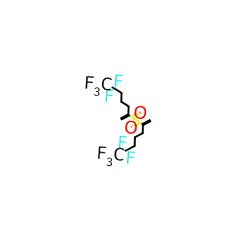 C=C(CCCC(F)(F)C(F)(F)F)S(=O)(=O)C(=C)CCCC(F)(F)C(F)(F)F